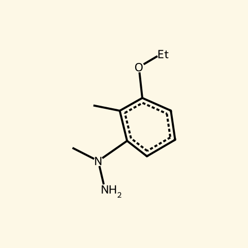 CCOc1cccc(N(C)N)c1C